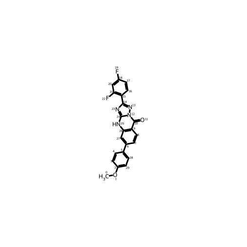 COc1ccc(-c2ccc3c(=O)n4nc(-c5ccc(F)cc5F)nc4[nH]c3c2)cc1